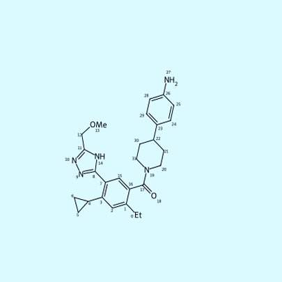 CCc1cc(C2CC2)c(-c2nnc(COC)[nH]2)cc1C(=O)N1CCC(c2ccc(N)cc2)CC1